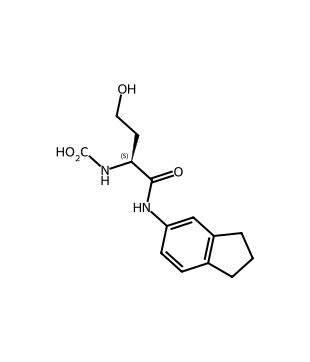 O=C(O)N[C@@H](CCO)C(=O)Nc1ccc2c(c1)CCC2